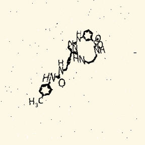 Cc1ccc(NC(=O)NCC#Cc2cnc3nc2NCCCNS(=O)(=O)c2cccc(c2)N3)cc1